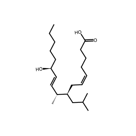 CCCCC[C@H](O)/C=C/[C@@H](C)[C@@H](C/C=C\CCCC(=O)O)CC(C)C